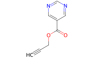 C#CCOC(=O)c1cncnc1